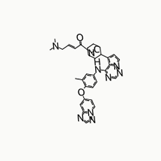 Cc1cc(Nc2ncnn3ccc(C4CC5CCC4CN5C(=O)/C=C/CN(C)C)c23)ccc1Oc1ccn2ncnc2c1